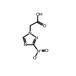 O=C(O)Cn1cnc([N+](=O)[O-])n1